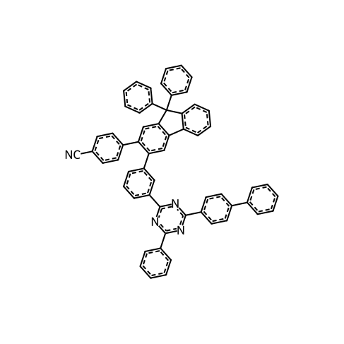 N#Cc1ccc(-c2cc3c(cc2-c2cccc(-c4nc(-c5ccccc5)nc(-c5ccc(-c6ccccc6)cc5)n4)c2)-c2ccccc2C3(c2ccccc2)c2ccccc2)cc1